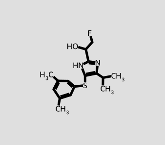 Cc1cc(C)cc(Sc2[nH]c(C(O)CF)nc2C(C)C)c1